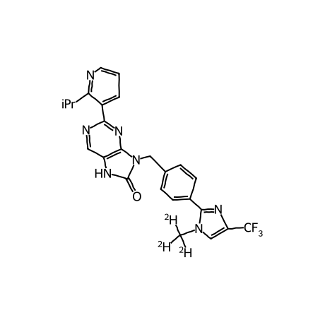 [2H]C([2H])([2H])n1cc(C(F)(F)F)nc1-c1ccc(Cn2c(=O)[nH]c3cnc(-c4cccnc4C(C)C)nc32)cc1